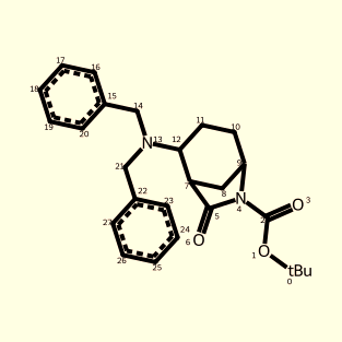 CC(C)(C)OC(=O)N1C(=O)C2CC1CCC2N(Cc1ccccc1)Cc1ccccc1